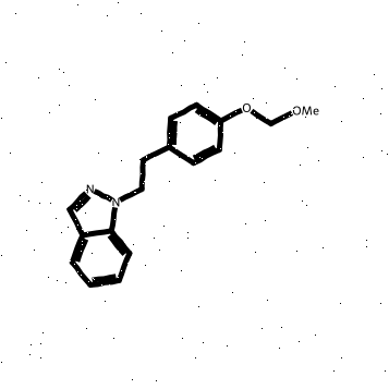 COCOc1ccc(CCn2ncc3ccccc32)cc1